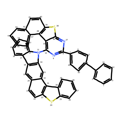 c1ccc(-c2ccc(-c3nc(-n4c5ccccc5c5cc6ccc7sc8ccccc8c7c6cc54)c4c(n3)sc3ccc5ccccc5c34)cc2)cc1